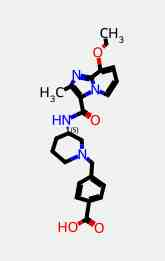 CCOc1cccn2c(C(=O)N[C@H]3CCCN(Cc4ccc(C(=O)O)cc4)C3)c(C)nc12